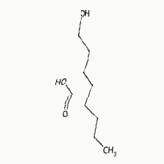 CCCCCCCCO.O=CO